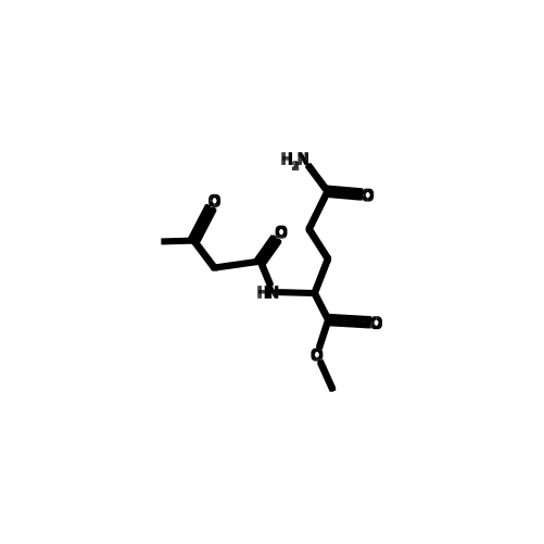 COC(=O)C(CCC(N)=O)NC(=O)CC(C)=O